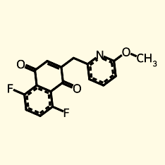 COc1cccc(CC2=CC(=O)c3c(F)ccc(F)c3C2=O)n1